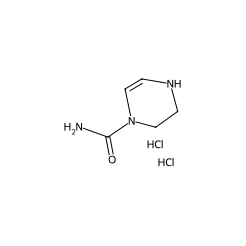 Cl.Cl.NC(=O)N1C=CNCC1